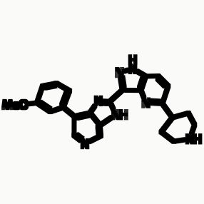 COc1cccc(-c2cncc3[nH]c(-c4n[nH]c5ccc(C6CCNCC6)nc45)nc23)c1